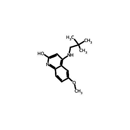 COc1ccc2nc(O)cc(NCC(C)(C)C)c2c1